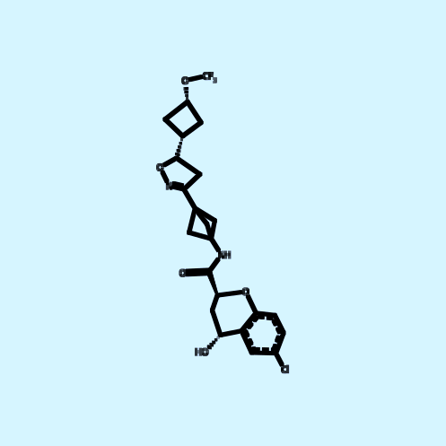 O=C(NC12CC(C3=NOC([C@H]4C[C@@H](OC(F)(F)F)C4)C3)(C1)C2)[C@@H]1C[C@@H](O)c2cc(Cl)ccc2O1